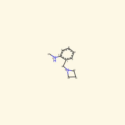 CNc1ccccc1CN1CCC1